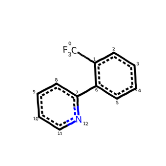 FC(F)(F)c1cc[c]cc1-c1ccccn1